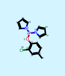 Cc1ccc(OP(n2cccc2)n2cccc2)c(Cl)c1